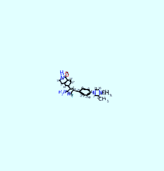 CC1CN(c2ccc(-c3cc(-c4ccc5c(c4)CCNC5=O)c(N)nc3F)cc2)CCN1C